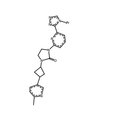 Cc1ccc(C2CC(N3CCN(c4cccc(-c5nncn5C(C)C)n4)C3=O)C2)cn1